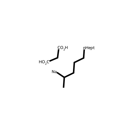 CCCCCCCCCC[CH](C)[Na].O=C(O)CC(=O)O